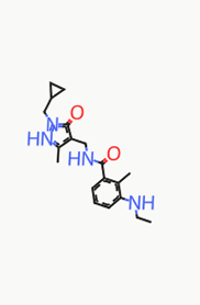 CCNc1cccc(C(=O)NCc2c(C)[nH]n(CC3CC3)c2=O)c1C